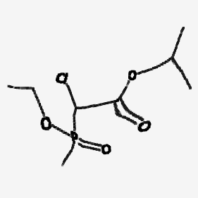 CCOP(C)(=O)C(Cl)C(=O)OC(C)C